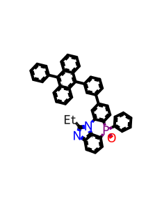 CCc1nc2cccc3c2n1-c1cc(-c2cccc(-c4c5ccccc5c(-c5ccccc5)c5ccccc45)c2)ccc1P3(=O)c1ccccc1